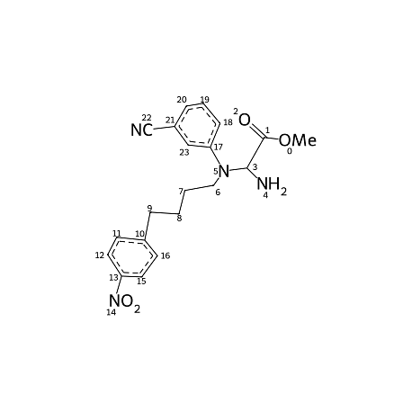 COC(=O)C(N)N(CCCCc1ccc([N+](=O)[O-])cc1)c1cccc(C#N)c1